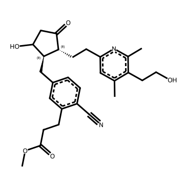 COC(=O)CCc1cc(C[C@H]2C(O)CC(=O)[C@@H]2CCc2cc(C)c(CCO)c(C)n2)ccc1C#N